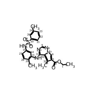 CCOC(=O)c1cn2ncnc(Nc3cc(NS(=O)(=O)c4cccc(C)c4)ccc3C)c2c1C